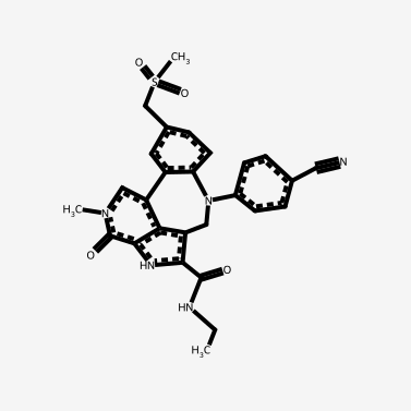 CCNC(=O)c1[nH]c2c(=O)n(C)cc3c2c1CN(c1ccc(C#N)cc1)c1ccc(CS(C)(=O)=O)cc1-3